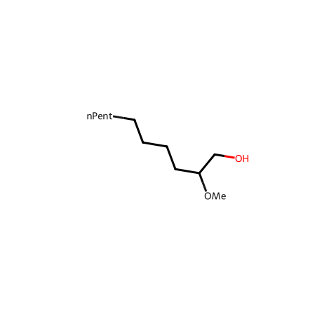 CCCCCCCCCC(CO)OC